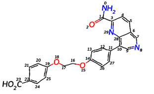 NC(=O)c1ccc2cncc(-c3ccc(OCCOc4ccc(C(=O)O)cc4)cc3)c2n1